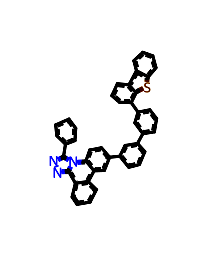 c1ccc(-c2nnc3c4ccccc4c4cc(-c5cccc(-c6cccc(-c7cccc8c7sc7ccccc78)c6)c5)ccc4n23)cc1